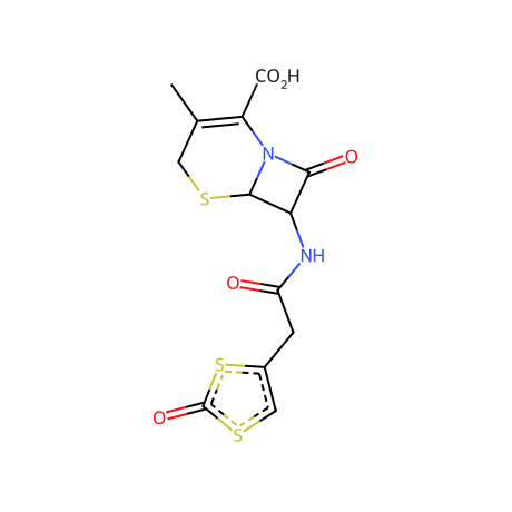 CC1=C(C(=O)O)N2C(=O)C(NC(=O)Cc3csc(=O)s3)C2SC1